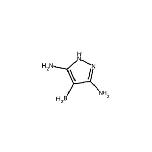 Bc1c(N)n[nH]c1N